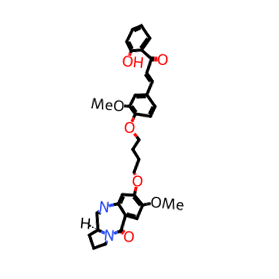 COc1cc(/C=C/C(=O)c2ccccc2O)ccc1OCCCCOc1cc2c(cc1OC)C(=O)N1CCC[C@H]1C=N2